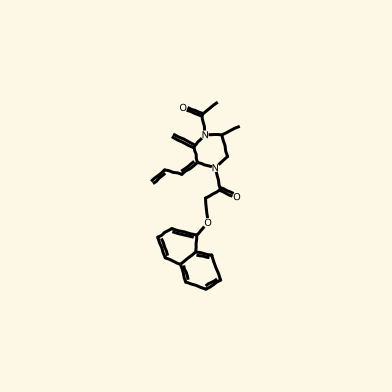 C=C/C=C1\C(=C)N(C(C)=O)C(C)CN1C(=O)COc1cccc2ccccc12